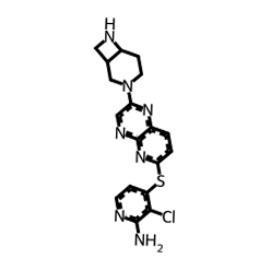 Nc1nccc(Sc2ccc3nc(N4CCC5NCC5C4)cnc3n2)c1Cl